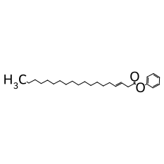 CCCCCCCCCCCCCCCC=CCC(=O)Oc1ccccc1